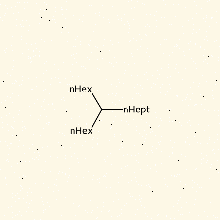 [CH2]CCCCCC(CCCCCC)CCCCCCC